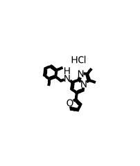 Cc1cccc(C)c1CNc1cc(-c2ccco2)cn2c(C)c(C)nc12.Cl